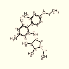 CCOc1ccc(-c2c(Cl)nc(N)nc2N[C@@H]2C[C@H](CO)[C@@H](O)[C@H]2O)c(C)n1